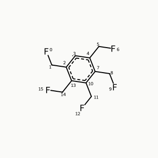 FCc1[c]c(CF)c(CF)c(CF)c1CF